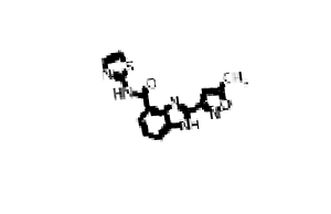 Cc1cc(-c2nc3c(C(=O)Nc4nccs4)cccc3[nH]2)no1